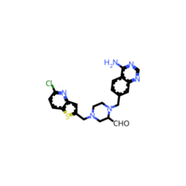 Nc1ncnc2cc(CN3CCN(Cc4cc5nc(Cl)ccc5s4)CC3C=O)ccc12